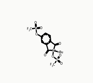 CCCC[N+]1(OS(=O)(=O)C(F)(F)F)C(=O)c2ccc(OS(=O)(=O)C(F)(F)F)cc2C1=O